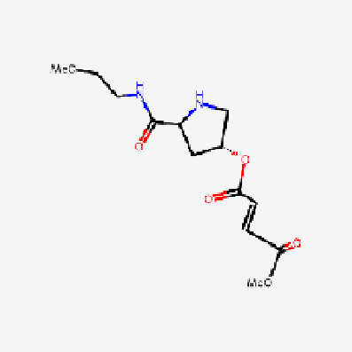 COCCNC(=O)[C@@H]1C[C@@H](OC(=O)/C=C/C(=O)OC)CN1